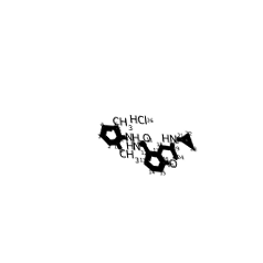 Cc1cccc(C)c1NNC(=O)c1cccc2c1CC(NC1CC1)CO2.Cl